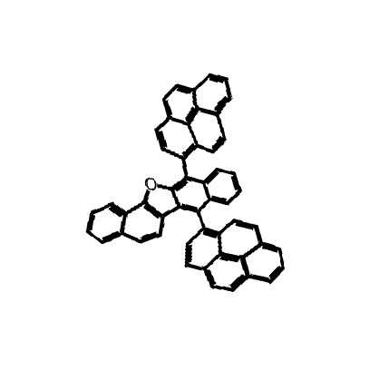 c1ccc2c(c1)ccc1c2oc2c(-c3ccc4ccc5cccc6ccc3c4c56)c3ccccc3c(-c3ccc4ccc5cccc6ccc3c4c56)c21